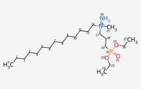 CCCCCCCCCCCCCC[N+](C)(N)CCCP(=O)(OCC)OCC